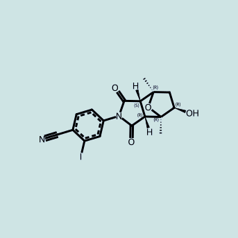 C[C@]12O[C@](C)(C[C@H]1O)[C@H]1C(=O)N(c3ccc(C#N)c(I)c3)C(=O)[C@H]12